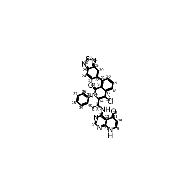 C[C@H](Nc1ncnc2[nH]ccc(=O)c12)c1c(Cl)c2cccc(-c3ccc4nsnc4c3)c2c(=O)n1-c1ccccc1